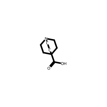 O=C(O)C12CCN(CC1)CC2